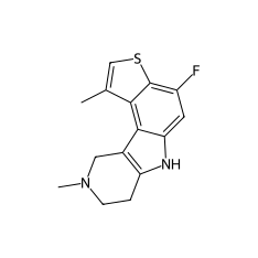 Cc1csc2c(F)cc3[nH]c4c(c3c12)CN(C)CC4